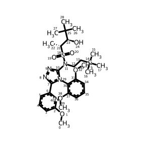 COc1cccc(-c2nnc(N(CC[Si](C)(C)C)S(=O)(=O)[C@H](C)[C@H](O)C(C)(C)C)n2-c2c(OC)cccc2OC)n1